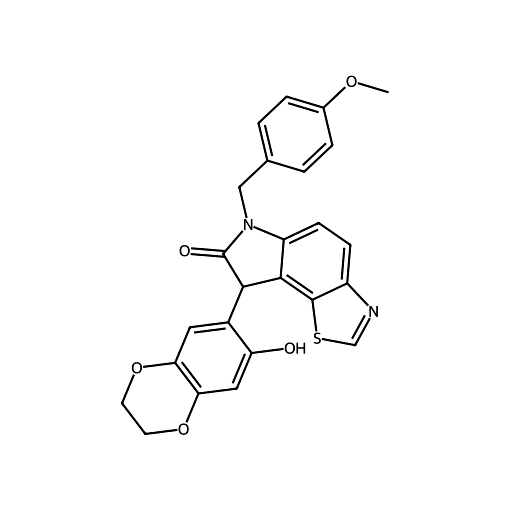 COc1ccc(CN2C(=O)C(c3cc4c(cc3O)OCCO4)c3c2ccc2ncsc32)cc1